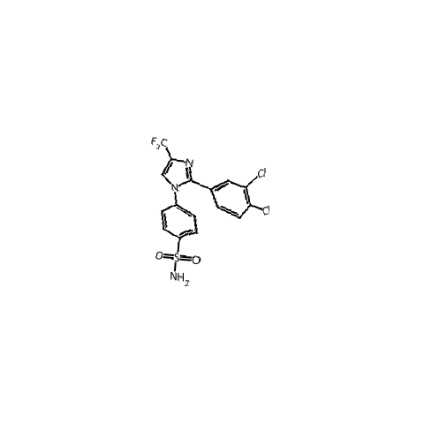 NS(=O)(=O)c1ccc(-n2cc(C(F)(F)F)nc2-c2ccc(Cl)c(Cl)c2)cc1